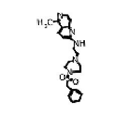 Cc1nccc2nc(NCCN3CCN(S(=O)(=O)Cc4ccccc4)CC3)ccc12